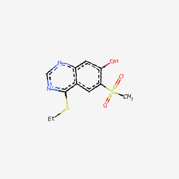 CCSc1ncnc2cc(O)c(S(C)(=O)=O)cc12